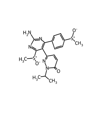 CC(C)n1nc(-c2c(-c3ccc([S+](C)[O-])cc3)nc(N)nc2[S+](C)[O-])ccc1=O